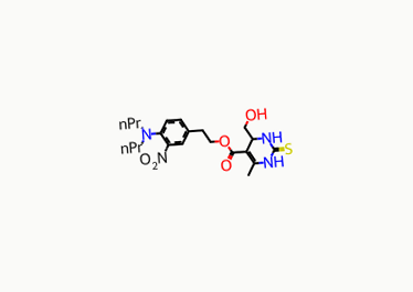 CCCN(CCC)c1ccc(CCOC(=O)C2=C(C)NC(=S)NC2CO)cc1[N+](=O)[O-]